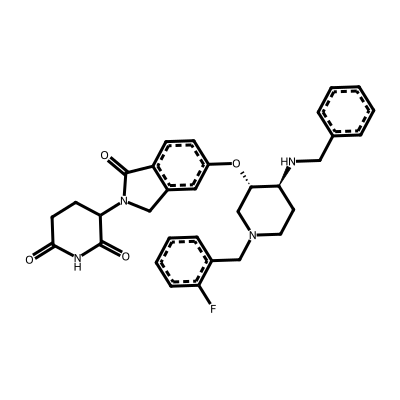 O=C1CCC(N2Cc3cc(O[C@H]4CN(Cc5ccccc5F)CC[C@@H]4NCc4ccccc4)ccc3C2=O)C(=O)N1